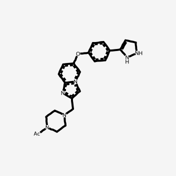 CC(=O)N1CCN(Cc2cn3cc(Oc4ccc(C5=CCNN5)cc4)ccc3n2)CC1